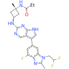 CCC(=O)N[C@]1(C)C[C@@H](Nc2ncc3c(-c4cc(F)c5nc(C)n(CC(F)F)c5c4)c[nH]c3n2)C1